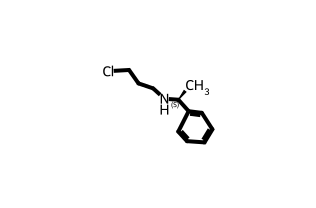 C[C@H](NCCCCl)c1ccccc1